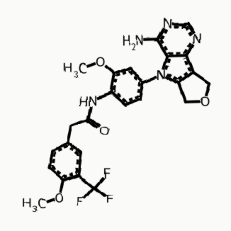 COc1cc(-n2c3c(c4ncnc(N)c42)COC3)ccc1NC(=O)Cc1ccc(OC)c(C(F)(F)F)c1